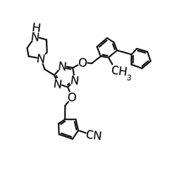 Cc1c(COc2nc(CN3CCNCC3)nc(OCc3cccc(C#N)c3)n2)cccc1-c1ccccc1